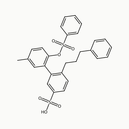 Cc1ccc(OS(=O)(=O)c2ccccc2)c(-c2cc(S(=O)(=O)O)ccc2CCCc2ccccc2)c1